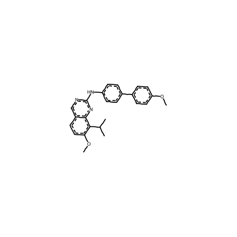 COc1ccc(-c2ccc(Nc3ncc4ccc(OC)c(C(C)C)c4n3)cc2)cc1